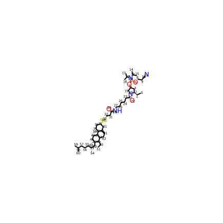 CC[C@@H]1C[C@@H](OP(OCCC#N)N(C(C)C)C(C)C)CN1C(=O)CCCCCNC(=O)CCSS[C@H]1CC[C@@]2(C)C(=CCC3C2CC[C@@]2(C)C3CC[C@@H]2[C@H](C)CCCC(C)C)C1